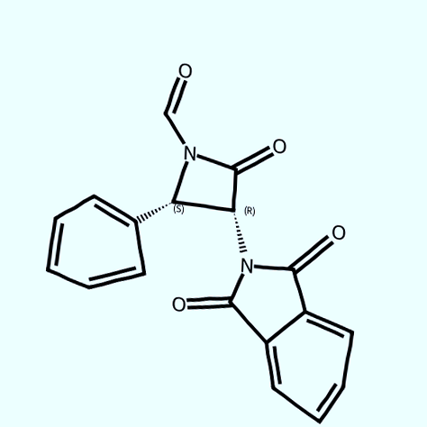 O=CN1C(=O)[C@H](N2C(=O)c3ccccc3C2=O)[C@@H]1c1ccccc1